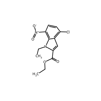 CCOC(=O)c1cc2c(Cl)ccc([N+](=O)[O-])c2n1CC